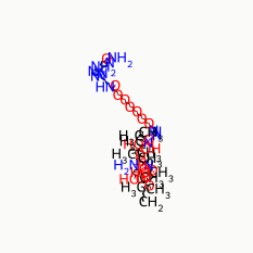 C=C/C=C/C=C(\C)C(C[C@@H]1CC[C@@H](C)[C@](O)(C(=O)C(=O)N2CCCCC2C(=O)OC(C[C@@H](OC)C(C)/C=C(\C)C(O)[C@@H](O)/C(=N/OCc2cn(CCOCCOCCOCCOCCOCCOCCC(=O)NCCCCn3nc(-c4ccc5oc(N)nc5c4)c4c(N)ncnc43)nn2)C(C)CC(C)C)[C@H](N)CC2CCC(O)[C@H](OC)C2)O1)OC